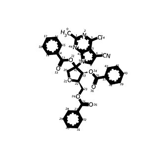 Cc1nc(Cl)c2c(C#N)cn(C3(OC(=O)c4ccccc4)CO[C@H](COC(=O)c4ccccc4)[C@H]3OC(=O)c3ccccc3)c2n1